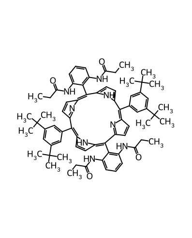 CCC(=O)Nc1cccc(NC(=O)CC)c1-c1c2nc(c(-c3cc(C(C)(C)C)cc(C(C)(C)C)c3)c3ccc([nH]3)c(-c3c(NC(=O)CC)cccc3NC(=O)CC)c3nc(c(-c4cc(C(C)(C)C)cc(C(C)(C)C)c4)c4ccc1[nH]4)C=C3)C=C2